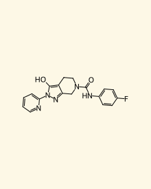 O=C(Nc1ccc(F)cc1)N1CCc2c(nn(-c3ccccn3)c2O)C1